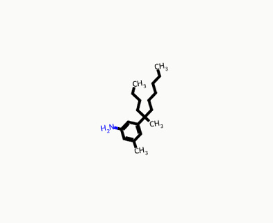 CCCCCCC(C)(CCCC)c1cc(C)cc(N)c1